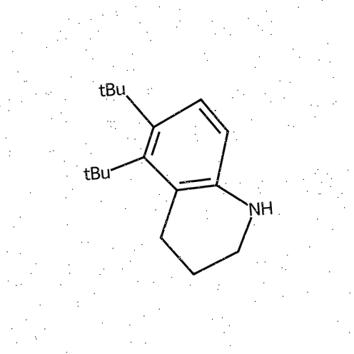 CC(C)(C)c1ccc2c(c1C(C)(C)C)CCCN2